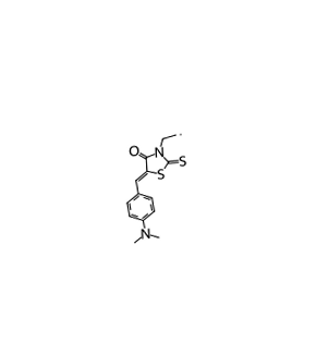 [CH2]CN1C(=O)C(=Cc2ccc(N(C)C)cc2)SC1=S